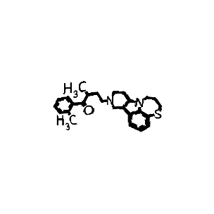 Cc1ccccc1C(=O)C(C)CCN1CCC2C(C1)c1cccc3c1N2CCCS3